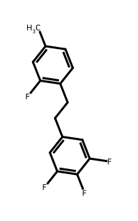 Cc1ccc(CCc2cc(F)c(F)c(F)c2)c(F)c1